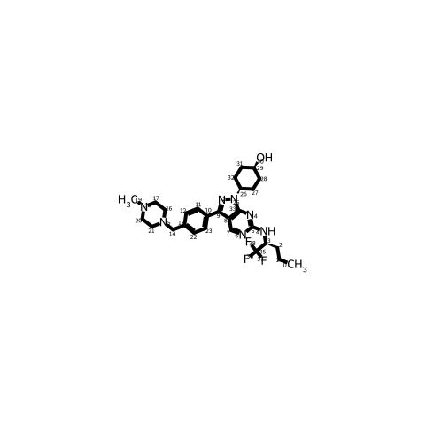 CCC[C@H](Nc1ncc2c(-c3ccc(CN4CCN(C)CC4)cc3)nn([C@H]3CC[C@H](O)CC3)c2n1)C(F)(F)F